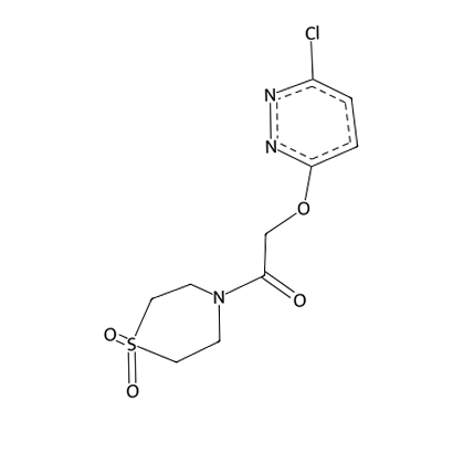 O=C(COc1ccc(Cl)nn1)N1CCS(=O)(=O)CC1